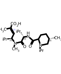 C/C(=C\[C@H](C(C)C)N(C)C(=O)[C@@H](NC(=O)C1CC[C@H](C)CN1C(C)C)C(C)C)C(=O)O